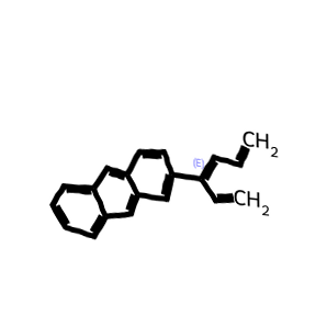 C=C/C=C(\C=C)c1ccc2cc3ccccc3cc2c1